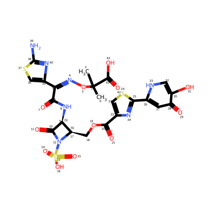 CC(C)(ON=C(C(=O)N[C@@H]1C(=O)N(S(=O)(=O)O)[C@@H]1COC(=O)c1csc(-c2cc(=O)c(O)c[nH]2)n1)c1csc(N)n1)C(=O)O